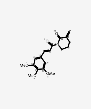 C=C1CCCN(C(=O)C=Cc2cc(OC)c(OC)c(OC)c2)C1=O